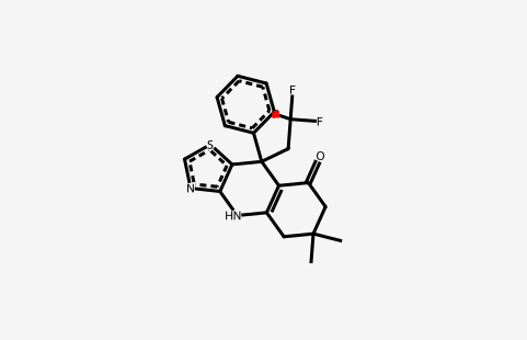 CC1(C)CC(=O)C2=C(C1)Nc1ncsc1C2(CC(F)(F)F)c1ccccc1